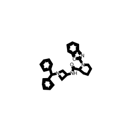 O=C(NC1CN(C(c2ccccc2)c2ccccc2)C1)C1CCCCN1c1nc2ccccc2o1